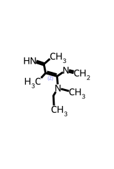 C=N/C(=C(/C)C(C)=N)N(C)CC